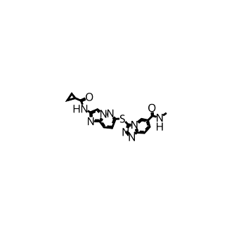 CNC(=O)c1ccc2nnc(Sc3ccc4nc(NC(=O)C5CC5)cn4n3)n2c1